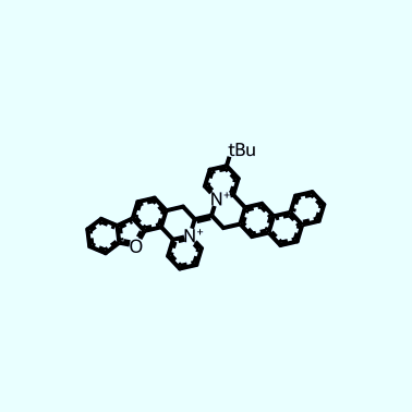 CC(C)(C)c1cc[n+]2c(c1)-c1cc3c(ccc4ccccc43)cc1C/C2=C1/Cc2ccc3c(oc4ccccc43)c2-c2cccc[n+]21